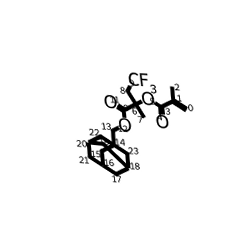 C=C(C)C(=O)OC(C)(CC(F)(F)F)C(=O)OCC12CC3CC(CC(C3)C1)C2